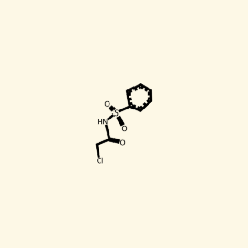 O=C(CCl)NS(=O)(=O)c1ccccc1